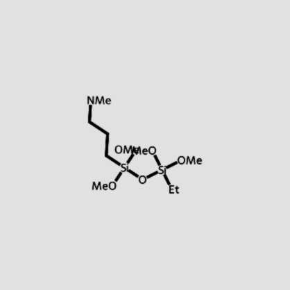 CC[Si](OC)(OC)O[Si](CCCNC)(OC)OC